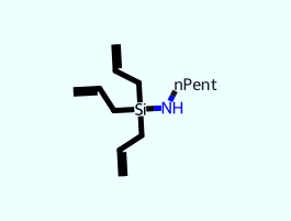 C=CC[Si](CC=C)(CC=C)NCCCCC